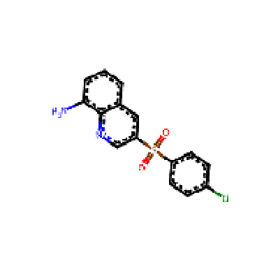 Nc1cccc2cc(S(=O)(=O)c3ccc(Cl)cc3)cnc12